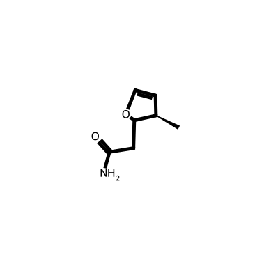 C[C@@H]1C=COC1CC(N)=O